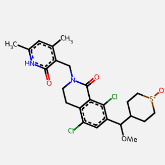 COC(c1cc(Cl)c2c(c1Cl)C(=O)N(Cc1c(C)cc(C)[nH]c1=O)CC2)C1CC[S+]([O-])CC1